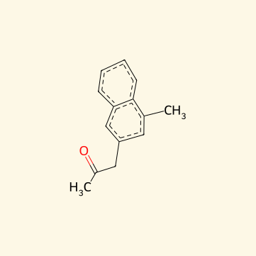 CC(=O)Cc1cc(C)c2ccccc2c1